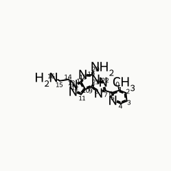 Cc1cccnc1-c1nc2c3cnn(CCN)c3nc(N)n2n1